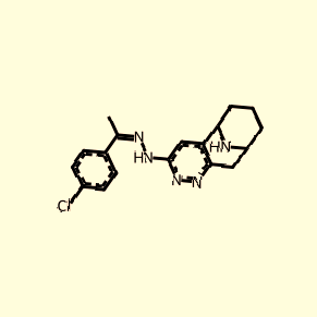 CC(=NNc1cc2c(nn1)CC1CCCC2N1)c1ccc(Cl)cc1